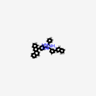 NC(NC(NCc1cccc(-c2ccc3ccccc3c2)c1)c1ccc(-c2c3ccccc3cc3c2ccc2ccccc23)cc1)c1ccccc1